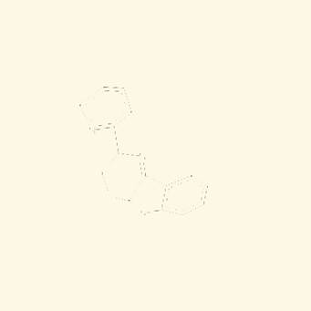 c1ccc(C2CSC3=Nc4ccccc4C3=N2)nc1